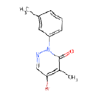 Cc1cccc(-n2ncc(Br)c(C)c2=O)c1